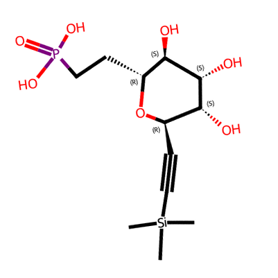 C[Si](C)(C)C#C[C@H]1O[C@H](CCP(=O)(O)O)[C@@H](O)[C@H](O)[C@@H]1O